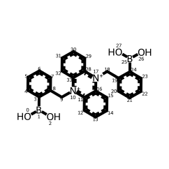 OB(O)c1ccccc1C[n+]1c2ccccc2[n+](Cc2ccccc2B(O)O)c2ccccc21